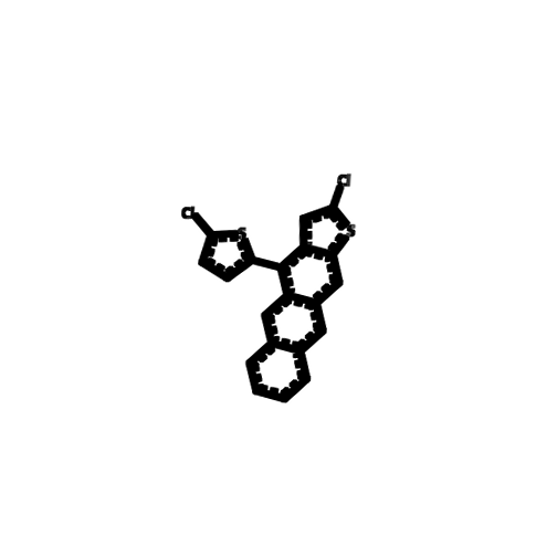 Clc1ccc(-c2c3cc4ccccc4cc3cc3sc(Cl)cc23)s1